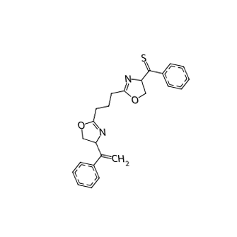 C=C(c1ccccc1)C1COC(CCCC2=NC(C(=S)c3ccccc3)CO2)=N1